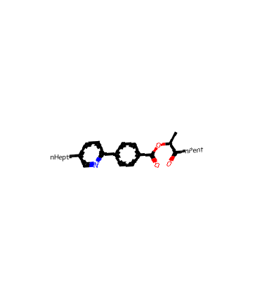 CCCCCCCc1ccc(-c2ccc(C(=O)OC(C)C(=O)CCCCC)cc2)nc1